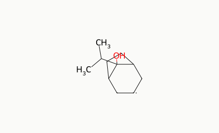 CC(C)C1(O)C2C[CH]CC1CC2